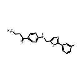 CCCC(=O)c1ccc(NCc2cnc(-c3cccc(F)c3)s2)cc1